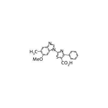 COc1cc2c(cc1C)ncn2-c1nc(-c2ccccc2)c(C(=O)O)s1